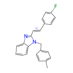 Cc1ccc(Cn2c(/C=C/c3ccc(F)cc3)nc3ccccc32)cc1